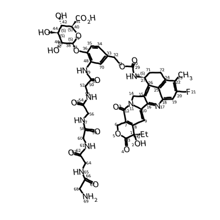 CC[C@@]1(O)C(=O)OCc2c1cc1n(c2=O)Cc2c-1nc1cc(F)c(C)c3c1c2[C@@H](NC(=O)OCc1ccc(O[C@@H]2O[C@H](C(=O)O)[C@@H](O)[C@H](O)[C@H]2O)c(NC(=O)CNC(=O)CNC(=O)CNC(=O)CNC(=O)CN)c1)CC3